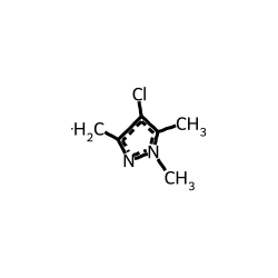 [CH2]c1nn(C)c(C)c1Cl